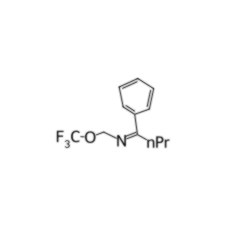 CCC/C(=N/COC(F)(F)F)c1ccccc1